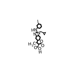 Cc1c(C(=O)O)c(=O)oc2cc3c(cc12)nc(Nc1cccc(I)c1)n3CC1CC1